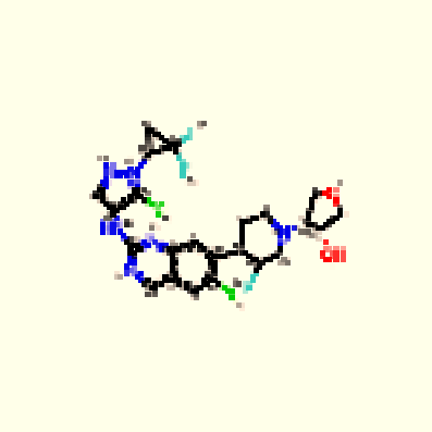 O[C@H]1COC[C@H]1N1CCC(c2cc3nc(Nc4cnn(C5CC5(F)F)c4Cl)ncc3cc2Cl)C(F)C1